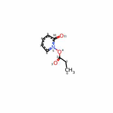 CCC(=O)On1ccccc1=O